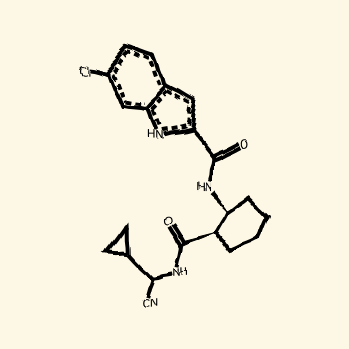 N#CC(NC(=O)[C@@H]1CCCC[C@@H]1NC(=O)c1cc2ccc(Cl)cc2[nH]1)C1CC1